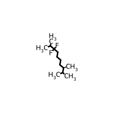 CC(C)[C@H](C)CCCCC(F)(F)C(C)C